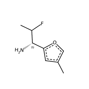 Cc1coc([C@H](N)C(C)F)c1